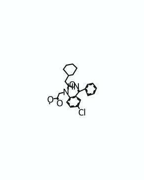 COC(=O)CN(C(=O)CC1CCCCC1)c1ccc(Cl)cc1C(=N)c1ccccc1